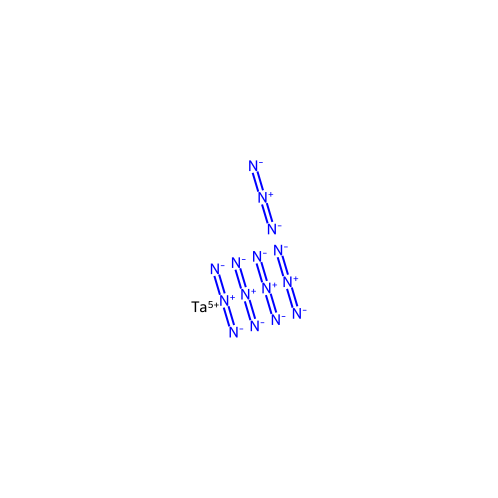 [N-]=[N+]=[N-].[N-]=[N+]=[N-].[N-]=[N+]=[N-].[N-]=[N+]=[N-].[N-]=[N+]=[N-].[Ta+5]